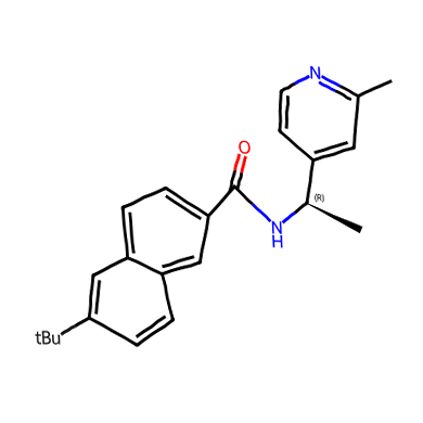 Cc1cc([C@@H](C)NC(=O)c2ccc3cc(C(C)(C)C)ccc3c2)ccn1